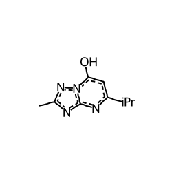 Cc1nc2nc(C(C)C)cc(O)n2n1